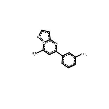 Cc1cccc(-c2cc(N)n3nccc3n2)c1